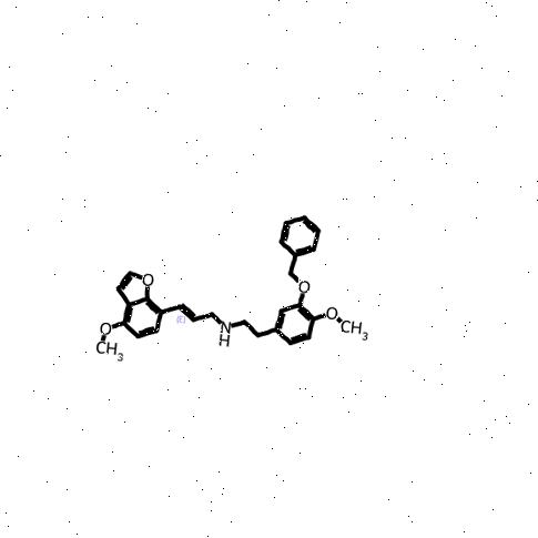 COc1ccc(CCNC/C=C/c2ccc(OC)c3ccoc23)cc1OCc1ccccc1